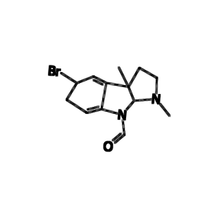 CN1CCC2(C)C3=CC(Br)CC=C3N(C=O)C12